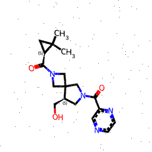 CC1(C)C[C@@H]1C(=O)N1CC2(CN(C(=O)c3cnccn3)C[C@H]2CO)C1